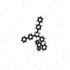 c1ccc(-c2ccc(-c3cc(-c4ccc5c(c4)C4(c6ccccc6O5)c5ccccc5-c5ccccc54)nc(-c4ccc(-c5ccccc5)cc4)n3)cc2)cc1